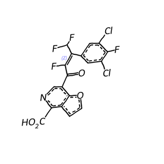 O=C(O)c1ncc(C(=O)/C(F)=C(\c2cc(Cl)c(F)c(Cl)c2)C(F)F)c2occc12